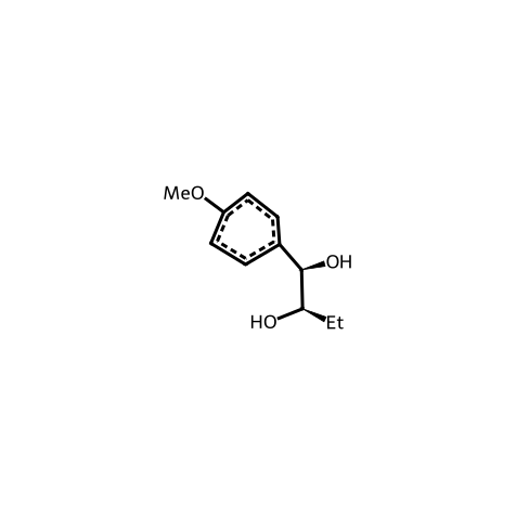 CC[C@@H](O)[C@H](O)c1ccc(OC)cc1